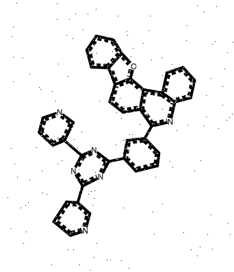 c1cncc(-c2nc(-c3cccnc3)nc(-c3cccc(-c4nc5ccccc5c5c4ccc4c6ccccc6oc45)c3)n2)c1